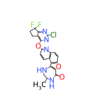 CC1CNc2c(oc3ccc4nc(Oc5nc(Cl)nc6c5CCC6(F)F)ccc4c23)C(=O)N1